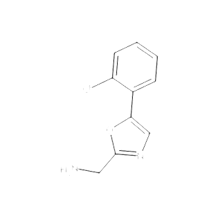 NCc1ncc(-c2ccccc2Cl)o1